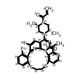 C=CC(=O)N1C[C@H](C)N(c2nc(=O)n3c4nc(c(F)cc24)-c2c(F)cccc2SCCSc2ccnc(C(C)C)c2-3)C[C@H]1C